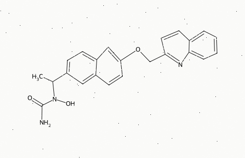 CC(c1ccc2cc(OCc3ccc4ccccc4n3)ccc2c1)N(O)C(N)=O